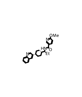 CC[C@H](NC(=O)c1ccc(OC)nc1)[C@H]1CC[C@@H](c2cnc3ccccc3c2)CC1